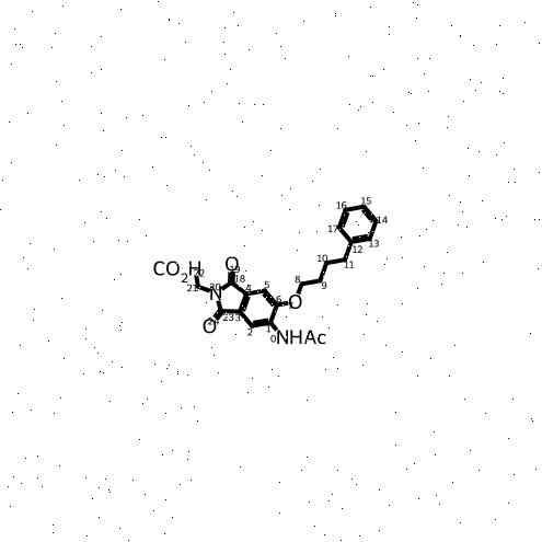 CC(=O)Nc1cc2c(cc1OCCCCc1ccccc1)C(=O)N(CC(=O)O)C2=O